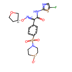 O=C(Nc1ncc(F)s1)/C(=N/O[C@@H]1CCOC1)c1ccc(S(=O)(=O)N2CC[S+]([O-])CC2)cc1